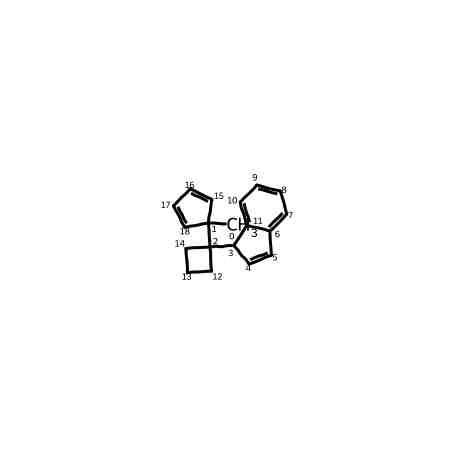 CC1(C2(C3C=Cc4ccccc43)CCC2)C=CC=C1